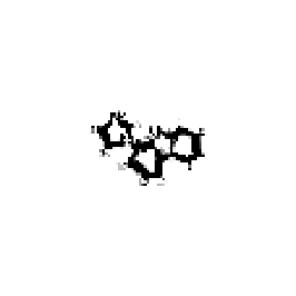 c1ccc2c(c1)oc1c(-n3ccnc3)cccc12